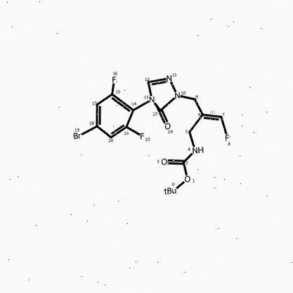 CC(C)(C)OC(=O)NC/C(=C\F)Cn1ncn(-c2c(F)cc(Br)cc2F)c1=O